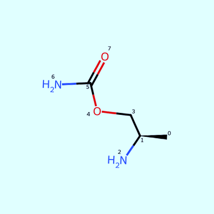 C[C@@H](N)COC(N)=O